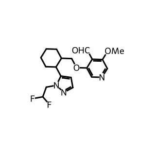 COc1cncc(OCC2CCCCC2c2ccnn2CC(F)F)c1C=O